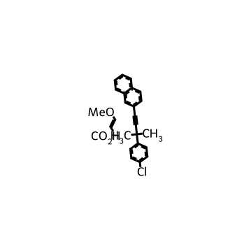 CC(C)(C#Cc1ccc2ccccc2c1)c1ccc(Cl)cc1.COC=CC(=O)O